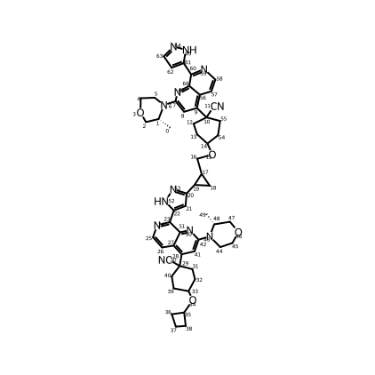 C[C@@H]1COCCN1c1cc(C2(C#N)CCC(OCC3CC3c3cc(-c4nccc5c(C6(C#N)CCC(OC7CCC7)CC6)cc(N6CCOC[C@H]6C)nc45)[nH]n3)CC2)c2ccnc(-c3ccn[nH]3)c2n1